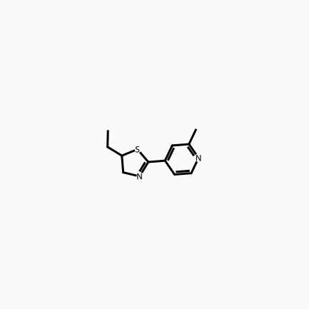 CCC1CN=C(c2ccnc(C)c2)S1